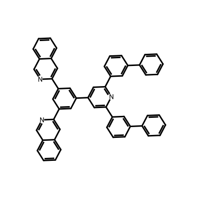 c1ccc(-c2cccc(-c3cc(-c4cc(-c5cc6ccccc6cn5)cc(-c5cc6ccccc6cn5)c4)cc(-c4cccc(-c5ccccc5)c4)n3)c2)cc1